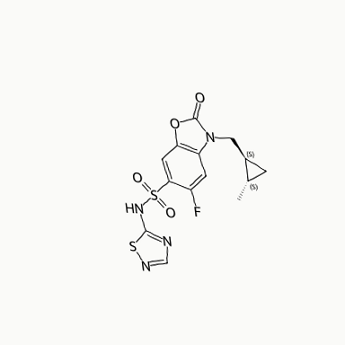 C[C@H]1C[C@@H]1Cn1c(=O)oc2cc(S(=O)(=O)Nc3ncns3)c(F)cc21